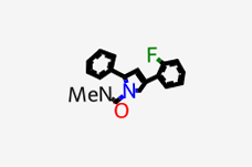 CNC(=O)N1CC(c2ccccc2F)=CC1c1ccccc1